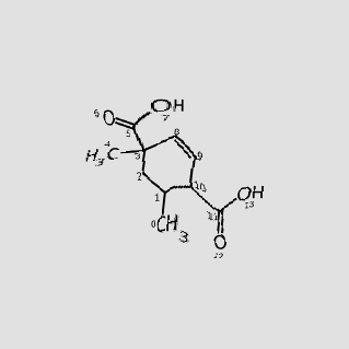 CC1CC(C)(C(=O)O)C=CC1C(=O)O